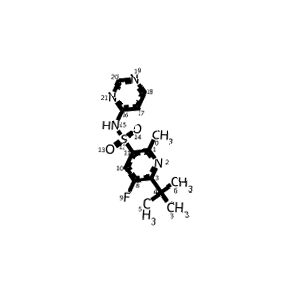 Cc1nc(C(C)(C)C)c(F)cc1S(=O)(=O)Nc1ccncn1